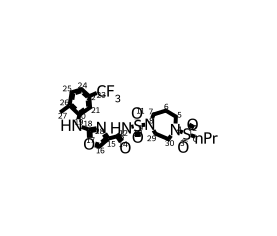 CCCS(=O)(=O)N1CCCN(S(=O)(=O)NC(=O)c2coc(Nc3cc(C(F)(F)F)ccc3C)n2)CC1